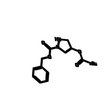 CCCCC(=O)OC1CNN(C(=O)OCc2ccccc2)C1